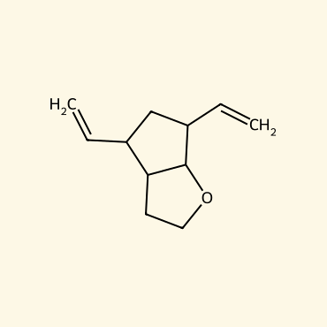 C=CC1CC(C=C)C2OCCC12